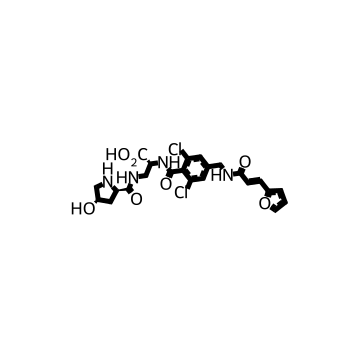 O=C(/C=C/c1ccco1)NCc1cc(Cl)c(C(=O)N[C@@H](CNC(=O)[C@H]2C[C@@H](O)CN2)C(=O)O)c(Cl)c1